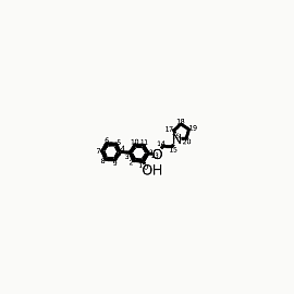 Oc1cc(-c2ccccc2)ccc1OCCN1CCCC1